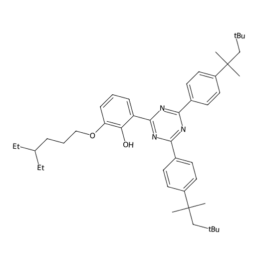 CCC(CC)CCCOc1cccc(-c2nc(-c3ccc(C(C)(C)CC(C)(C)C)cc3)nc(-c3ccc(C(C)(C)CC(C)(C)C)cc3)n2)c1O